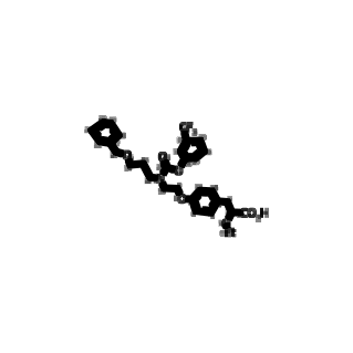 CCOC(Cc1ccc(OCCN(CCCOCc2ccccc2)C(=O)Oc2cccc(C(F)(F)F)c2)cc1)C(=O)O